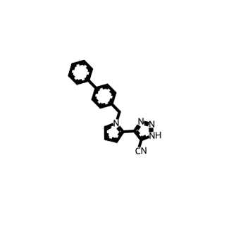 N#Cc1[nH]nnc1-c1cccn1Cc1ccc(-c2ccccc2)cc1